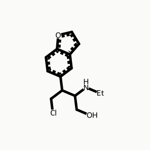 CCNC(CO)C(CCl)c1ccc2occc2c1